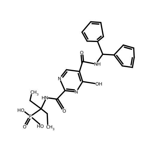 CCC(CC)(NC(=O)c1ncc(C(=O)NC(c2ccccc2)c2ccccc2)c(O)n1)P(=O)(O)O